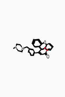 CN1CCN(Cc2cccc(-c3cc(=O)n(C)nc3-c3ccccc3Oc3ccccc3)c2)CC1